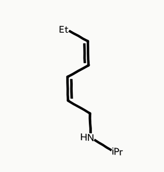 CC/C=C\C=C/CNC(C)C